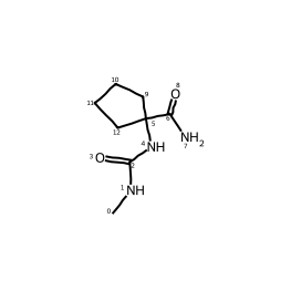 CNC(=O)NC1(C(N)=O)CCCC1